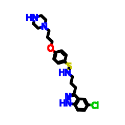 Clc1ccc2[nH]nc(CCCNSc3ccc(OCCCN4CCNCC4)cc3)c2c1